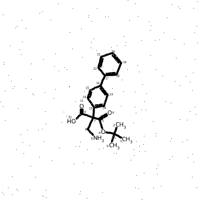 CC(C)(C)OC(=O)C(CN)(C(=O)O)c1ccc(-c2ccccc2)cc1